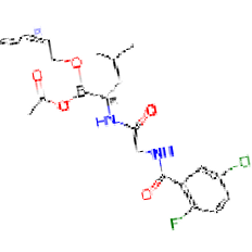 C=C/C=C\COB(OC(C)=O)[C@H](CC(C)C)NC(=O)CNC(=O)c1cc(Cl)ccc1F